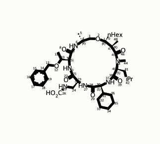 CCCCCC[C@H]1OC[C@@H](C)NC(=O)[C@H](C(C)OCc2ccccc2)NC(=O)[C@H](CNC(=O)O)NC(=O)[C@H](C2CCCCC2)NC(=O)[C@H](CC(C)C)N(C)C(=O)[C@@H]1C